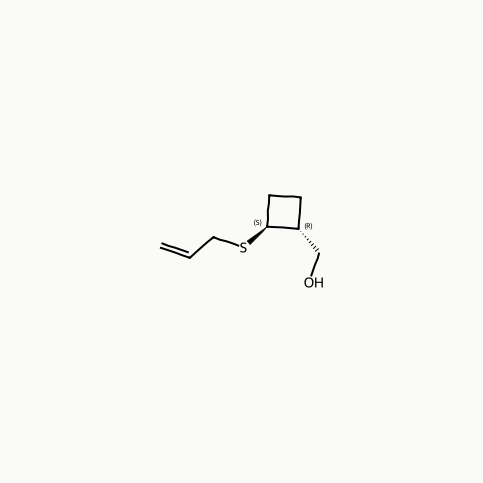 C=CCS[C@H]1CC[C@@H]1CO